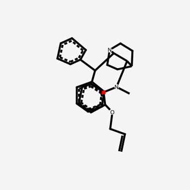 C=CCOc1ccccc1N(C)C1C2CCN(CC2)C1C(c1ccccc1)c1ccccc1